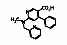 CN(Cc1ccccn1)c1cc(-c2ccccc2)c(C(=O)O)cn1